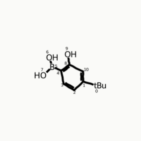 CC(C)(C)c1ccc(B(O)O)c(O)c1